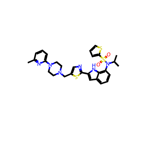 Cc1cccc(N2CCN(Cc3cnc(-c4cc5cccc(N(C(C)C)S(=O)(=O)c6cccs6)c5[nH]4)s3)CC2)n1